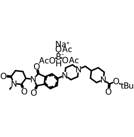 CC(=O)O[BH-](OC(C)=O)OC(C)=O.CN1C(=O)CCC(N2C(=O)c3ccc(N4CCN(CC5CCN(C(=O)OC(C)(C)C)CC5)CC4)cc3C2=O)C1=O.[Na+]